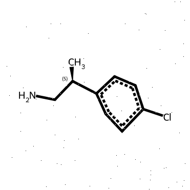 C[C@H](CN)c1ccc(Cl)cc1